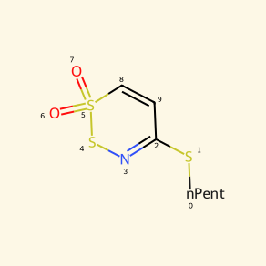 CCCCCSC1=NSS(=O)(=O)C=C1